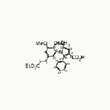 CCOC(=O)CCc1cc(OC)c(OC)c(-n2c(C)cc(C(=O)O)c2-c2ccccc2)c1